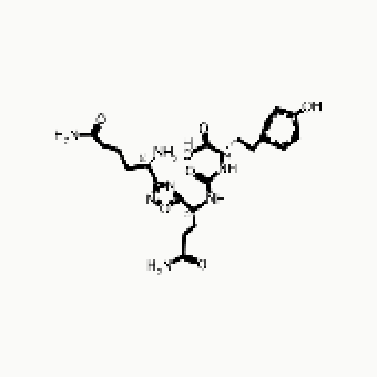 NC(=O)CCC[C@H](N)c1noc([C@H](CCC(N)=O)NC(=O)N[C@@H](CCc2ccc(O)cc2)C(=O)O)n1